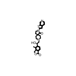 Cc1c([C@@H](O)CN2CCC3(CC2)CCN(c2cc4ccncc4s2)C3=O)ccc2c1COC2=O